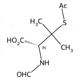 CC(=O)SC(C)(C)[C@H](NC=O)C(=O)O